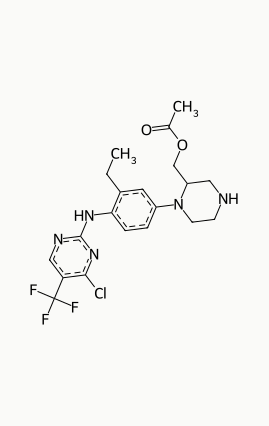 CCc1cc(N2CCNCC2COC(C)=O)ccc1Nc1ncc(C(F)(F)F)c(Cl)n1